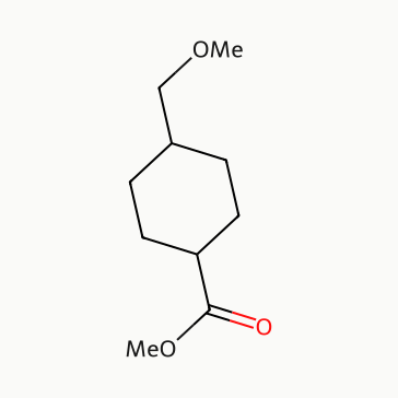 COCC1CCC(C(=O)OC)CC1